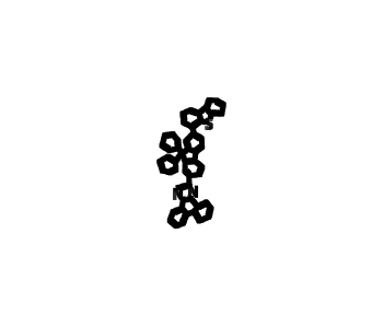 c1ccc(C2(c3ccccc3)c3cc(-c4cnc5c6ccccc6c6ccccc6c5n4)ccc3-c3ccc(-c4cccc5c4sc4ccccc45)cc32)cc1